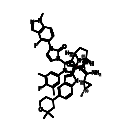 Cc1cc(-n2nc3c(c2-n2ccn(-c4ccc5c(cnn5C)c4F)c2=O)[C@@H]2CC[C@H](C3)N2S(=O)(=O)c2cc3cc(C4CCOC(C)(C)C4)ccc3n2[C@]2(C(N)=NO)C[C@@H]2C)cc(C)c1F